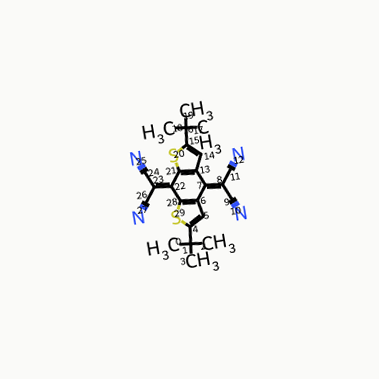 CC(C)(C)c1cc2c(=C(C#N)C#N)c3cc(C(C)(C)C)sc3c(=C(C#N)C#N)c2s1